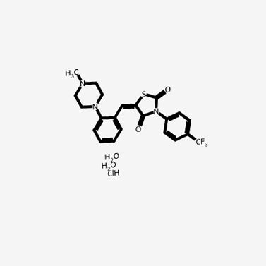 CN1CCN(c2ccccc2C=C2SC(=O)N(c3ccc(C(F)(F)F)cc3)C2=O)CC1.Cl.O.O